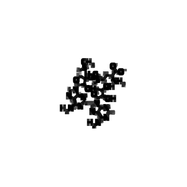 CSC[C@H]1O[C@@H](n2cnc3c(N)ncnc32)[C@H](O)[C@@H]1O.C[S+](CCC(N)C(=O)[O-])C[C@H]1O[C@@H](n2cnc3c(N)ncnc32)[C@H](O)[C@@H]1O